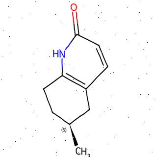 C[C@H]1CCc2[nH]c(=O)ccc2C1